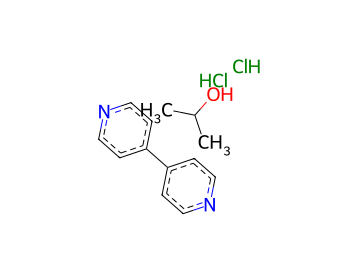 CC(C)O.Cl.Cl.c1cc(-c2ccncc2)ccn1